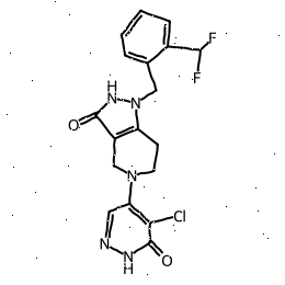 O=c1[nH]ncc(N2CCc3c(c(=O)[nH]n3Cc3ccccc3C(F)F)C2)c1Cl